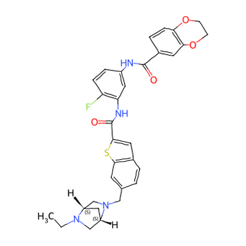 CCN1C[C@@H]2C[C@H]1CN2Cc1ccc2cc(C(=O)Nc3cc(NC(=O)c4ccc5c(c4)OCCO5)ccc3F)sc2c1